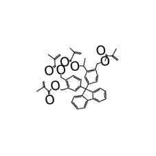 C=C(C)C(=O)OCc1ccc(C2(c3ccc(COC(=O)C(=C)C)c(C(C)OC(=O)C(=C)C)c3)c3ccccc3-c3ccccc32)cc1COC(=O)C(=C)C